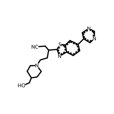 N#CCC(CCN1CCC(CO)CC1)c1nc2ccc(-c3cncnc3)cc2s1